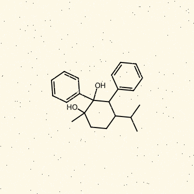 CC(C)C1CCC(C)(O)C(O)(c2ccccc2)C1c1ccccc1